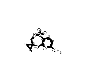 Cc1ccc2c(n1)OC1(C=NS2(=O)=O)CC1